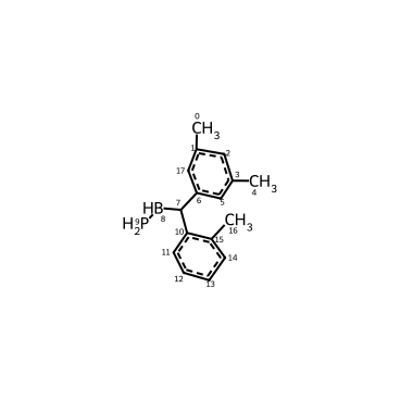 Cc1cc(C)cc(C(BP)c2ccccc2C)c1